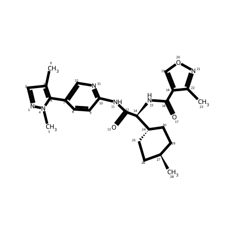 Cc1cnn(C)c1-c1ccc(NC(=O)[C@@H](NC(=O)c2conc2C)[C@H]2CC[C@H](C)CC2)nc1